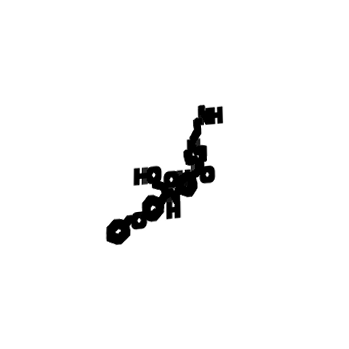 CNCCCN1CCN(C(=O)c2ccc(NC(c3ccc(OCc4ccccc4)cc3)[C@H](O)CO)cc2)CC1